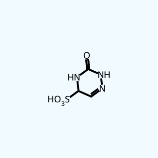 O=C1NN=CC(S(=O)(=O)O)N1